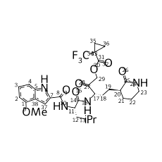 COc1cccc2[nH]c(C(=O)N[C@@H](CC(C)C)C(=O)N[C@@H](CC[C@@H]3CCCNC3=O)C(=O)COC(=O)C3(C(F)(F)F)CC3)cc12